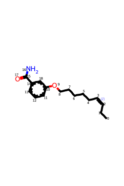 CC/C=C\CCCCCOc1cccc(C(N)=O)c1